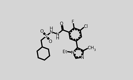 CCn1cnc(C)c1-c1cc(Cl)c(F)c(C(=O)NNS(=O)(=O)CC2CCCCC2)c1